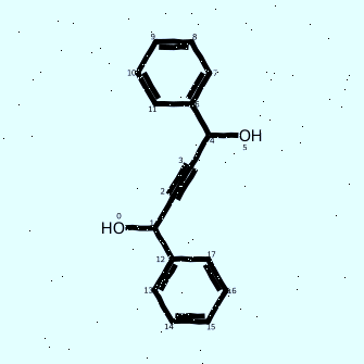 OC(C#CC(O)c1ccccc1)c1ccccc1